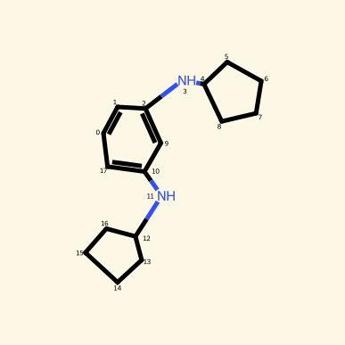 c1cc(NC2CCCC2)cc(NC2CCCC2)c1